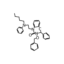 CCCCCN(CCN1C(=O)N(OCc2ccccc2)C(c2ccccc2)Cc2ccccc21)c1ccccc1